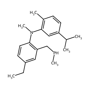 CCc1ccc(N(C)c2cc(C(C)C)ccc2C)c(CPC)c1